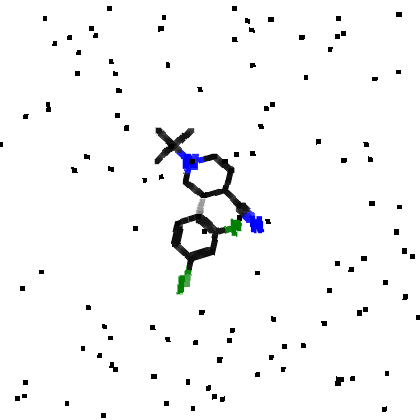 CC(C)(C)N1CCC(C#N)[C@H](c2ccc(F)cc2F)C1